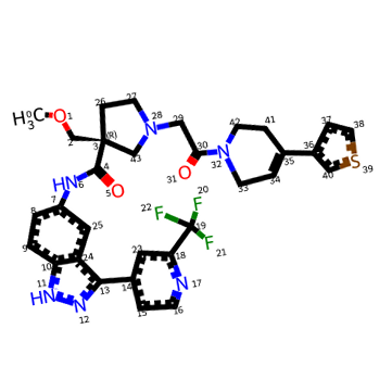 COC[C@@]1(C(=O)Nc2ccc3[nH]nc(-c4ccnc(C(F)(F)F)c4)c3c2)CCN(CC(=O)N2CC=C(c3ccsc3)CC2)C1